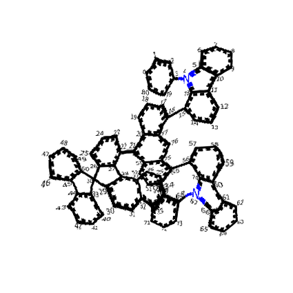 c1ccc(-n2c3ccccc3c3cccc(-c4cccc5c(-c6cccc7c6-c6c(ccc8ccccc68)C76c7ccccc7-c7ccccc76)c6cccc(-c7cccc8c9ccccc9n(-c9ccccc9)c78)c6cc45)c32)cc1